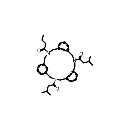 CCCC(=O)N1Cc2cccc(c2)CN(C(=O)CC(C)C)Cc2cccc(c2)CN(C(=O)CC(C)C)Cc2cccc(c2)C1